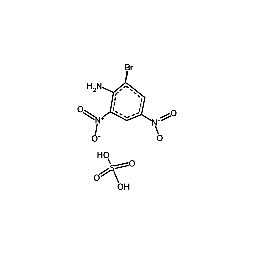 Nc1c(Br)cc([N+](=O)[O-])cc1[N+](=O)[O-].O=S(=O)(O)O